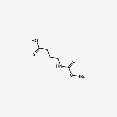 CC(C)(C)OC(=O)NCCCC(O)=S